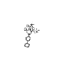 CC(C)(C)OC(=O)[C@H]1C[C@@H](c2ccc(-c3ccccc3)cc2)CC(=O)N1C(=O)OC(C)(C)C